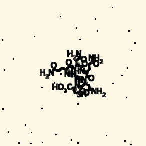 NC(=O)CC[C@H](NC(=O)[C@H](CC(N)=O)NC(=O)[C@@H](N)CCC(N)=O)C(=O)N[C@@H](CC(N)=O)C(=O)N[C@@H](CS)C(=O)O